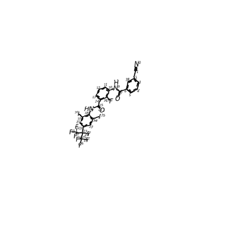 N#Cc1cccc(C(=O)Nc2cccc(C(=O)Nc3c(I)cc(C(F)(C(F)(F)F)C(F)(F)F)cc3I)c2F)c1